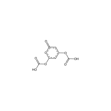 O=C(O)Oc1cc(OC(=O)O)oc(=O)c1